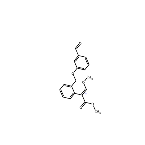 CO/C=C(/C(=O)OC)c1ccccc1COc1cccc(C=O)c1